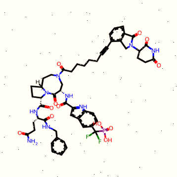 NC(=O)CC[C@H](NC(=O)[C@@H]1CC[C@@H]2CCN(C(=O)CCCCCC#Cc3cccc4c3CN(C3CCC(=O)NC3=O)C4=O)C[C@H](NC(=O)c3cc4cc(C(F)(F)P(=O)(O)O)ccc4[nH]3)C(=O)N21)C(=O)NCc1ccccc1